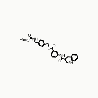 CC(C)(C)OC(=O)NCc1ccc(COC(=O)c2cccc(NC(=O)C(CS)Cc3ccccc3)c2)cc1